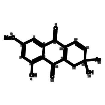 COc1cc(O)c2c(c1)C(=O)C1=C(CC(O)(C(C)=O)C=C1)C2=O